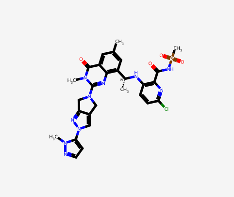 Cc1cc([C@@H](C)Nc2ccc(Cl)nc2C(=O)NS(C)(=O)=O)c2nc(N3Cc4cn(-c5ccnn5C)nc4C3)n(C)c(=O)c2c1